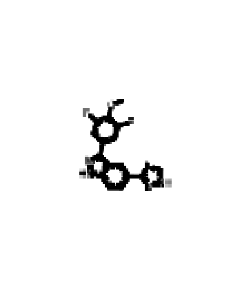 COc1c(F)cc(-c2n[nH]c3ccc(-c4nc[nH]n4)cc23)cc1F